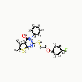 Cc1sc2nc(SCCOc3ccc(F)cc3)n(-c3ccccc3)c(=O)c2c1C